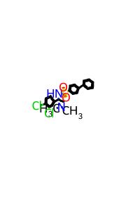 CN(C)CC(NS(=O)(=O)c1ccc(-c2ccccc2)cc1)c1ccc(Cl)c(Cl)c1